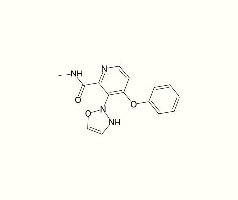 CNC(=O)c1nccc(Oc2ccccc2)c1N1NC=CO1